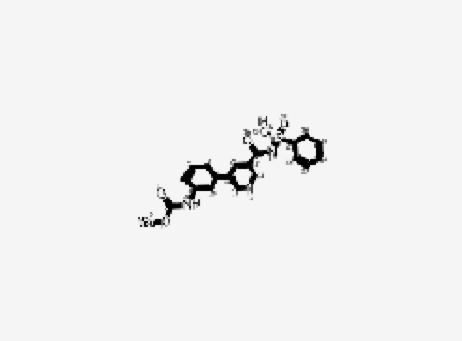 CC(C)(C)OC(=O)Nc1cccc(-c2cncc(C(=O)N=[S@@](C)(=O)C3C=CC=CC3)c2)c1